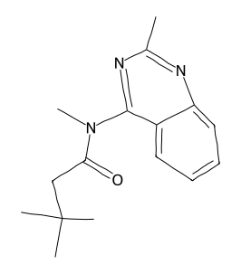 Cc1nc(N(C)C(=O)CC(C)(C)C)c2ccccc2n1